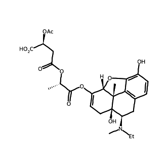 CCN(C)[C@@H]1Cc2ccc(O)c3c2[C@@]2(C)[C@@H](O3)C(OC(=O)[C@H](C)OC(=O)C[C@H](OC(C)=O)C(=O)O)=CC[C@@]12O